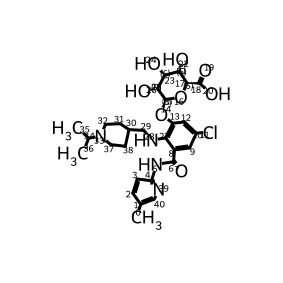 Cc1ccc(NC(=O)c2cc(Cl)cc(O[C@@H]3O[C@H](C(=O)O)[C@@H](O)[C@H](O)[C@H]3O)c2NCC2CCN(C(C)C)CC2)nc1